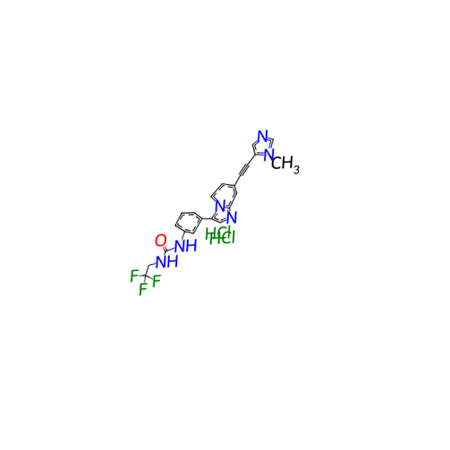 Cl.Cl.Cn1cncc1C#Cc1ccn2c(-c3cccc(NC(=O)NCC(F)(F)F)c3)cnc2c1